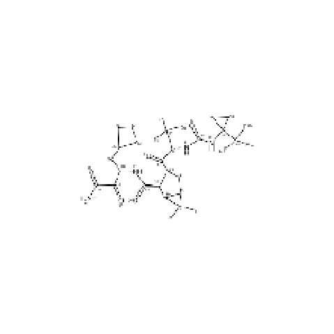 CC1(C)C2CN(C(=O)[C@@H](NC(=O)NC3(C(F)(F)F)CC3)C(C)(C)C)[C@H](C(=O)NC(CC3CCC3)C(=O)C(N)=O)C21